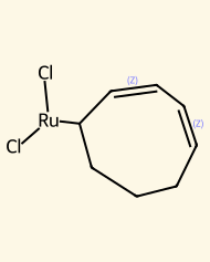 [Cl][Ru]([Cl])[CH]1/C=C\C=C/CCC1